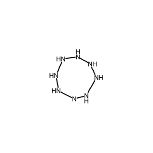 [N]1NNNNNNN1